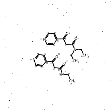 CCN(CC)C(=O)CC(=O)c1ccncc1.CCNC(=O)CC(=O)c1ccncc1